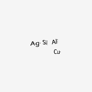 [Ag].[Al].[Cu].[Si]